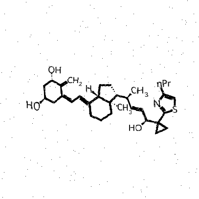 C=C1/C(=C\C=C2/CCC[C@]3(C)[C@@H]([C@@H](C)/C=C/[C@H](O)C4(c5nc(CCC)cs5)CC4)CC[C@@H]23)C[C@@H](O)C[C@@H]1O